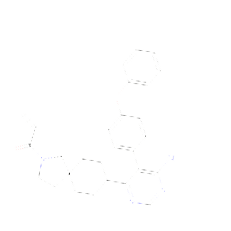 C=CC(=O)N1CCC2(CCC(c3ncnc(N)c3-c3ccc(Oc4ccccc4)cc3)CC2)C1